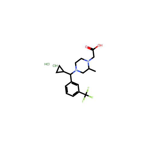 CC1CN(C(c2cccc(C(F)(F)F)c2)C2CC2)CCN1CC(=O)O.Cl.Cl